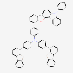 C1=CC(C2=CCC(N(C3=CC=C(C4=CC=CC5c6ccc7c(c6OC45)c4ccccc4n7-c4ccccc4)CC3)c3ccc(C4=C5Sc6ccccc6C5CC=C4)cc3)C=C2)C2Sc3ccccc3C2=C1